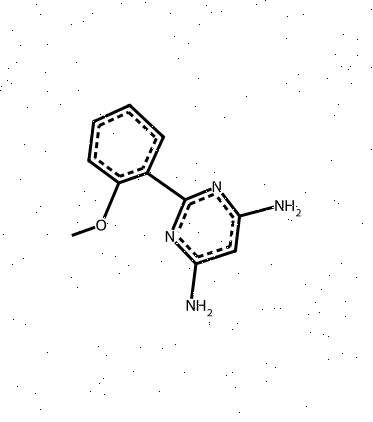 COc1ccccc1-c1nc(N)cc(N)n1